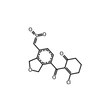 O=C1CCCC(Cl)=C1C(=O)c1ccc(C=S(=O)=O)c2c1COC2